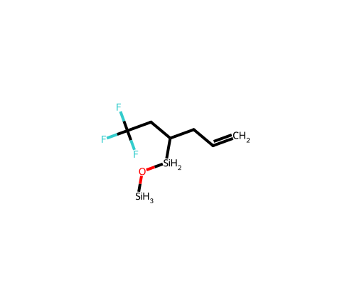 C=CCC(CC(F)(F)F)[SiH2]O[SiH3]